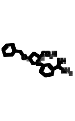 N=C(N)c1cccc(N2C[C@H](OCc3ccccc3)C[C@H]2C(=O)O)c1